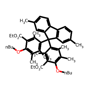 CCCCOc1c(C)c(C)c(C2(c3c(C)c(C)c(OCCCC)c(C(=O)OCC)c3C)c3cc(C)ccc3-c3ccc(C)cc32)c(C)c1C(=O)OCC